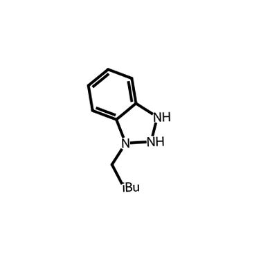 CCC(C)CN1NNc2ccccc21